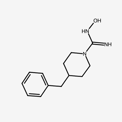 N=C(NO)N1CCC(Cc2ccccc2)CC1